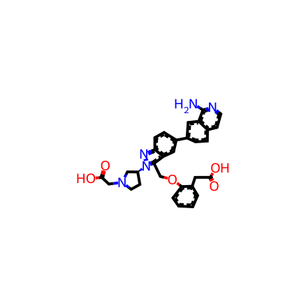 Nc1nccc2ccc(-c3ccc4nn([C@H]5CCN(CC(=O)O)C5)c(COc5ccccc5CC(=O)O)c4c3)cc12